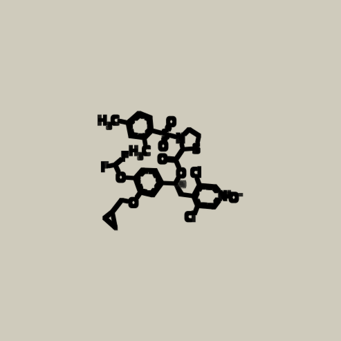 Cc1ccc(S(=O)(=O)N2CCSC2C(=O)O[C@@H](Cc2c(Cl)c[n+]([O-])cc2Cl)c2ccc(OC(F)F)c(OCC3CC3)c2)c(C)c1